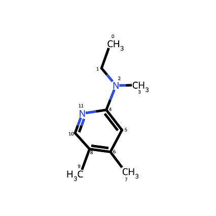 CCN(C)c1cc(C)c(C)cn1